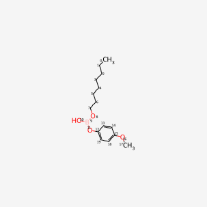 CCCCCCCCOB(O)Oc1ccc(OC)cc1